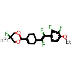 CCCC1(F)COC(C2=CCC(/C(F)=C(\F)c3ccc(OCC)c(F)c3F)CC2)OC1